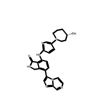 O=C1NCc2c(-c3cnc4cnccn34)ccc(Nc3ccc(N4CCC[C@H](O)CC4)cn3)c21